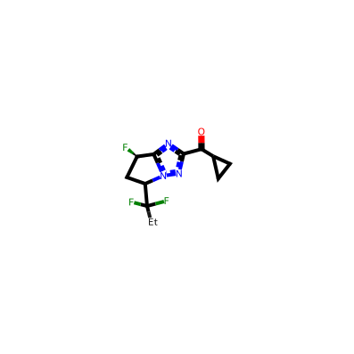 CCC(F)(F)C1C[C@@H](F)c2nc(C(=O)C3CC3)nn21